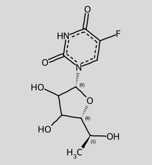 C[C@H](O)[C@H]1O[C@@H](n2cc(F)c(=O)[nH]c2=O)C(O)C1O